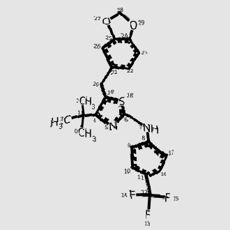 CC(C)(C)c1nc(Nc2ccc(C(F)(F)F)cc2)sc1Cc1ccc2c(c1)OCO2